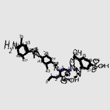 C=C\C=C(/C(=C\C=N\N(N=C)c1cc(S(=O)(=O)O)ccc1C(=O)O)N=Nc1ccc(N=Nc2cc(C)c(N)cc2C)cc1C)S(=O)(=O)O